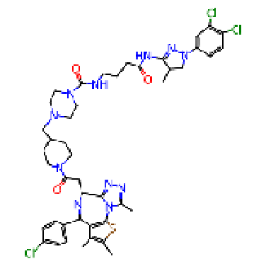 Cc1sc2c(c1C)C(c1ccc(Cl)cc1)=N[C@@H](CC(=O)N1CCC(CN3CCN(C(=O)NCCCC(=O)NC4=NN(c5ccc(Cl)c(Cl)c5)CC4C)CC3)CC1)c1nnc(C)n1-2